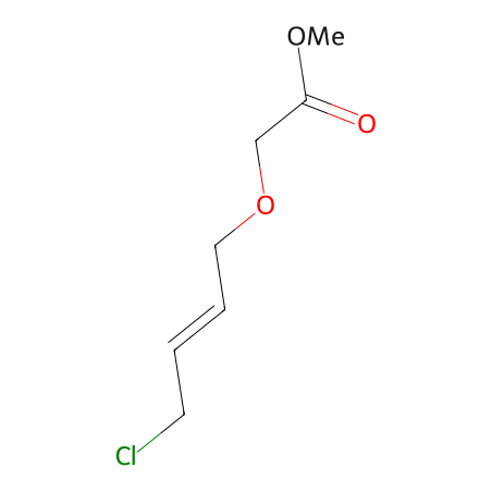 COC(=O)COC/C=C/CCl